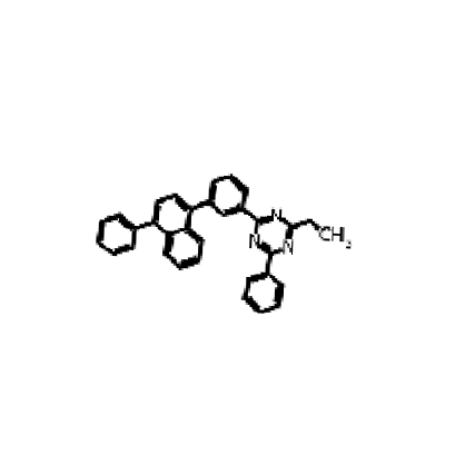 CCc1nc(-c2ccccc2)nc(-c2cccc(-c3ccc(-c4ccccc4)c4ccccc34)c2)n1